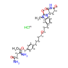 C[C@@H](OCc1ccc(CCCCCOCCCc2ccc3c(c2)n(C)c(=O)n3C2CCC(=O)NC2=O)cc1)[C@@H](N)CCC(N)=O.Cl